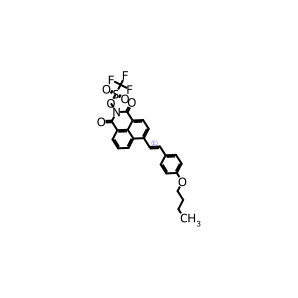 CCCCOc1ccc(/C=C/c2ccc3c4c(cccc24)C(=O)N(OS(=O)(=O)C(F)(F)F)C3=O)cc1